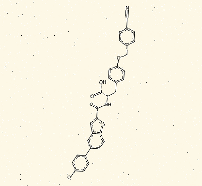 N#Cc1ccc(COc2ccc(CC(NC(=O)c3cc4cc(-c5ccc(Cl)cc5)ccc4s3)C(=O)O)cc2)cc1